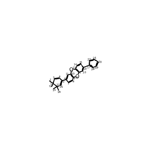 CC1(C)C=CC(c2ccc3c(c2)Oc2ccc(-c4ccccc4)cc2O3)=CC1(C)C